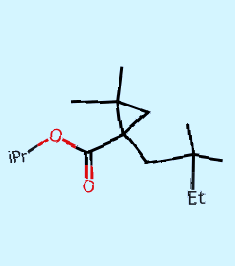 CCC(C)(C)CC1(C(=O)OC(C)C)CC1(C)C